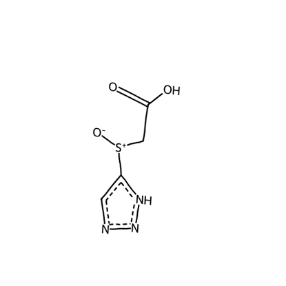 O=C(O)C[S+]([O-])c1cnn[nH]1